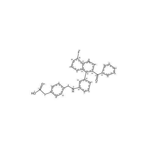 O=C(O)Cc1ccc(CNc2cccc(-c3c(C(=O)c4ccccc4)cnc4c(F)cccc34)c2)cc1